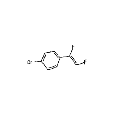 F/C=C(\F)c1ccc(Br)cc1